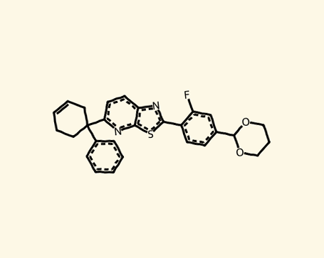 Fc1cc(C2OCCCO2)ccc1-c1nc2ccc(C3(c4ccccc4)CC=CCC3)nc2s1